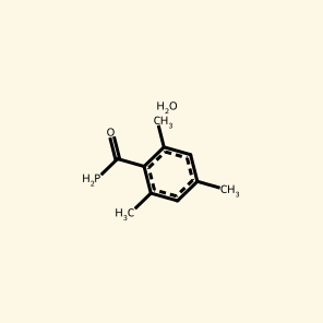 Cc1cc(C)c(C(=O)P)c(C)c1.O